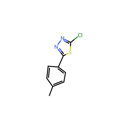 Cc1ccc(-c2nnc(Cl)s2)cc1